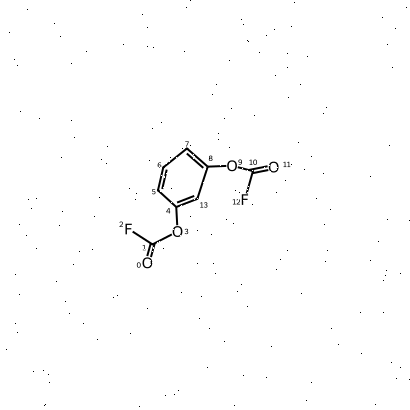 O=C(F)Oc1cccc(OC(=O)F)c1